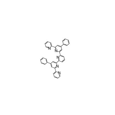 c1ccc(-c2cc(-c3ccccn3)nc(-c3cccc(-c4cc(-c5ccccc5)cc(-c5ccccn5)n4)n3)c2)cc1